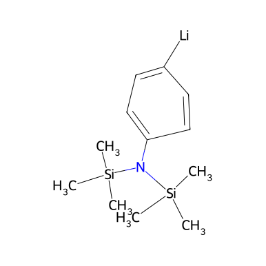 [Li][c]1ccc(N([Si](C)(C)C)[Si](C)(C)C)cc1